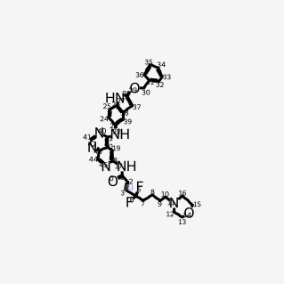 O=C(/C=C/C(F)(F)CCCCN1CCOCC1)Nc1cc2c(Nc3ccc4[nH]c(OCc5ccccc5)cc4c3)ncnc2cn1